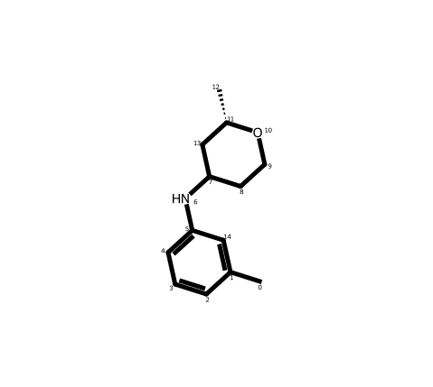 Cc1cccc(NC2CCO[C@@H](C)C2)c1